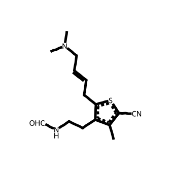 Cc1c(C#N)sc(C/C=C/CN(C)C)c1CCNC=O